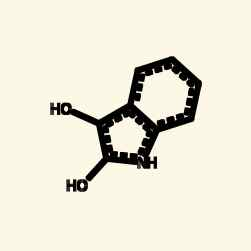 Oc1[nH]c2ccccc2c1O